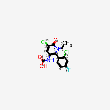 CCn1c(-c2ccc(F)cc2Cl)c(NC(=O)O)cc(Cl)c1=O